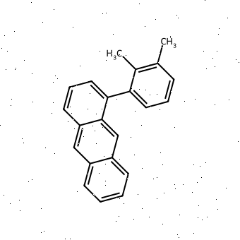 Cc1cccc(-c2cccc3cc4ccccc4cc23)c1C